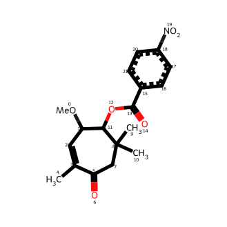 COC1C=C(C)C(=O)CC(C)(C)C1OC(=O)c1ccc([N+](=O)[O-])cc1